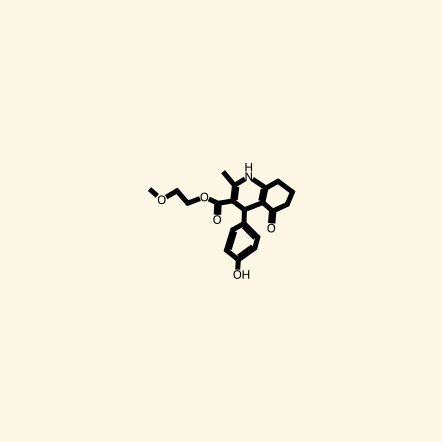 COCCOC(=O)C1=C(C)NC2=C(C(=O)CCC2)C1c1ccc(O)cc1